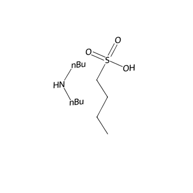 CCCCNCCCC.CCCCS(=O)(=O)O